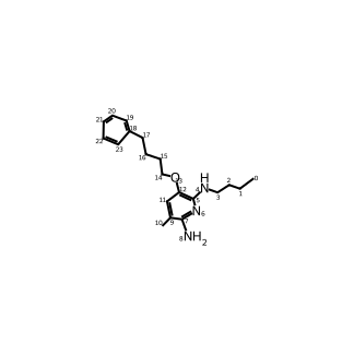 CCCCNc1nc(N)c(C)cc1OCCCCc1ccccc1